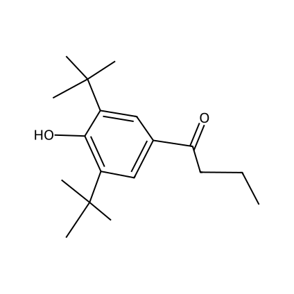 CCCC(=O)c1cc(C(C)(C)C)c(O)c(C(C)(C)C)c1